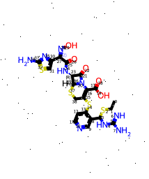 CCSC(NC(=N)N)c1cnccc1SC1=C(C(=O)O)N2C(=O)[C@@H](NC(=O)/C(=N\O)c3csc(N)n3)[C@@H]2SC1